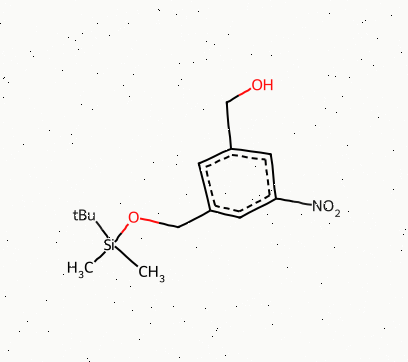 CC(C)(C)[Si](C)(C)OCc1cc(CO)cc([N+](=O)[O-])c1